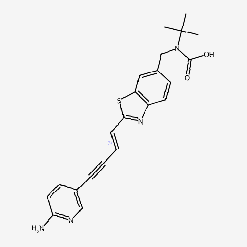 CC(C)(C)N(Cc1ccc2nc(/C=C/C#Cc3ccc(N)nc3)sc2c1)C(=O)O